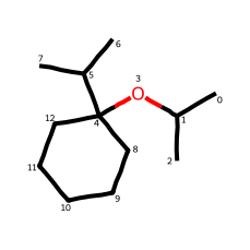 CC(C)OC1(C(C)C)CCCCC1